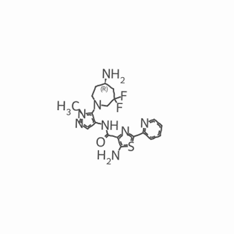 Cn1ncc(NC(=O)c2nc(-c3ccccn3)sc2N)c1N1CC[C@@H](N)CC(F)(F)C1